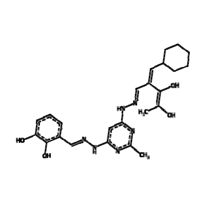 C\C(O)=C(O)/C(=C\C1CCCCC1)/C=N/Nc1cc(N/N=C/c2cccc(O)c2O)nc(C)n1